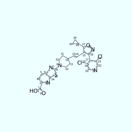 O=C(O)c1ccc2nc(N3CCC(C=Cc4c(-c5c(Cl)cncc5Cl)noc4C4CC4)CC3)sc2n1